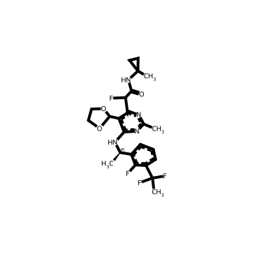 Cc1nc(N[C@H](C)c2cccc(C(C)(F)F)c2F)c(C2OCCO2)c(C(F)C(=O)NC2(C)CC2)n1